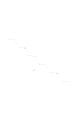 CCOC(=O)CCN(CCC(=O)OCC)C(C)(C)C